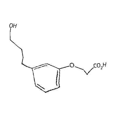 O=C(O)COc1cccc(CCCO)c1